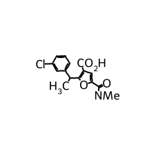 CNC(=O)c1cc(C(=O)O)c(C(C)c2cccc(Cl)c2)o1